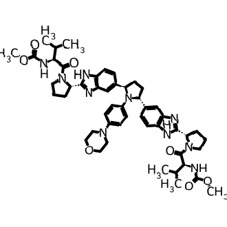 COC(=O)N[C@H](C(=O)N1CCC[C@H]1c1nc2cc([C@H]3CC[C@H](c4ccc5[nH]c([C@@H]6CCCN6C(=O)[C@@H](NC(=O)OC)C(C)C)nc5c4)N3c3ccc(N4CCOCC4)cc3)ccc2[nH]1)C(C)C